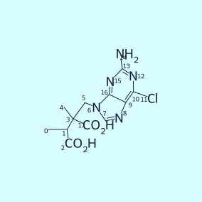 CC(C(=O)O)C(C)(Cn1cnc2c(Cl)nc(N)nc21)C(=O)O